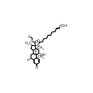 CCCCCCCC/C=C/CCCCCCCC(=O)O[C@]1(C(=O)SCF)[C@H](C)CC2C3C[C@H](F)C4=CC(=O)C=C[C@]4(C)[C@@]3(F)[C@@H](O)C[C@@]21C